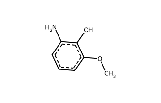 COc1cccc(N)c1O